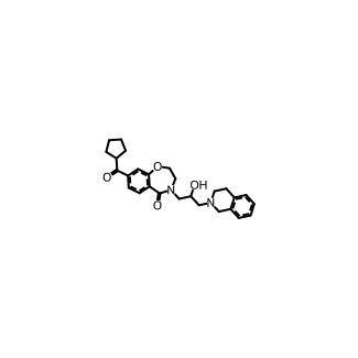 O=C(c1ccc2c(c1)OCCN(CC(O)CN1CCc3ccccc3C1)C2=O)C1CCCC1